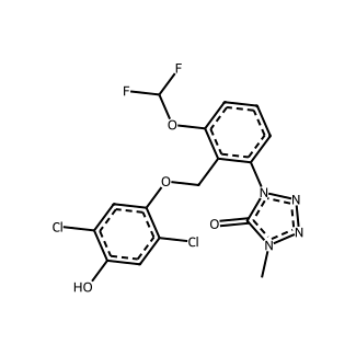 Cn1nnn(-c2cccc(OC(F)F)c2COc2cc(Cl)c(O)cc2Cl)c1=O